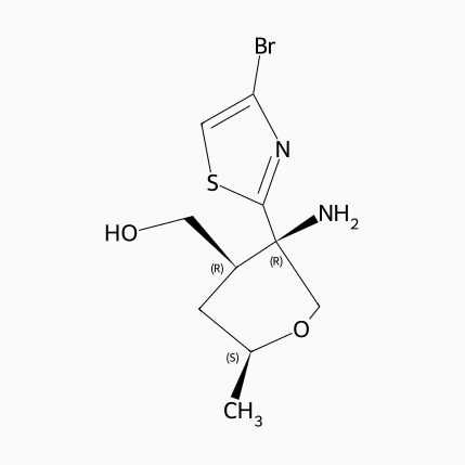 C[C@H]1C[C@@H](CO)[C@](N)(c2nc(Br)cs2)CO1